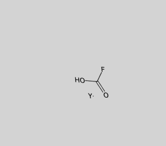 O=C(O)F.[Y]